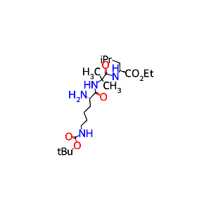 CCOC(=O)[C@H](CC(C)C)NC(=O)C(C)(C)NC(=O)[C@@H](N)CCCCNC(=O)OC(C)(C)C